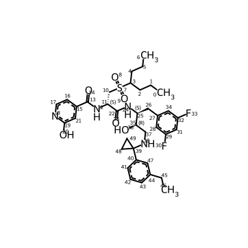 CCCC(CCC)S(=O)(=O)C[C@@H](NC(=O)c1ccnc(O)c1)C(=O)N[C@@H](Cc1cc(F)cc(F)c1)[C@H](O)CNC1(c2cccc(CC)c2)CC1